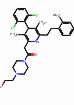 COc1ccccc1CCC1=C(C(=O)O)C(c2c(Cl)cccc2Cl)C(C(=O)O)=C(CC(=O)N2CCN(CCO)CC2)N1